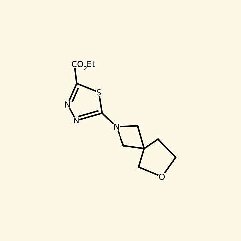 CCOC(=O)c1nnc(N2CC3(CCOC3)C2)s1